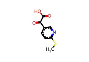 CSc1ccc(C(=O)C(=O)O)cn1